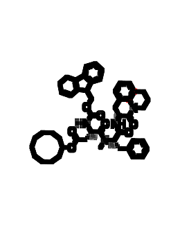 CN(C(=O)[C@H](CC(=O)OC1CCCCCCCCC1)NC(=O)OCC1C2=C(CCC=C2)c2ccccc21)[C@@H](Cc1ccccc1)C(=O)N[C@@H](Cc1ccccc1)C(=O)N1CCCCC1